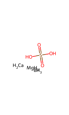 B.O=S(=O)(O)O.[CaH2].[MgH2]